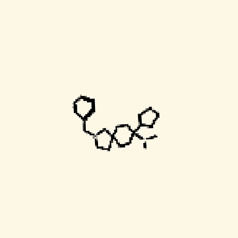 CN(C)C1(C2CCCC2)CCC2(CCN(Cc3ccccc3)C2)CC1